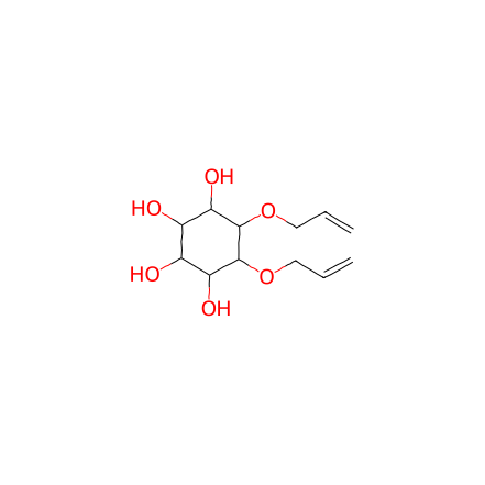 C=CCOC1C(O)C(O)C(O)C(O)C1OCC=C